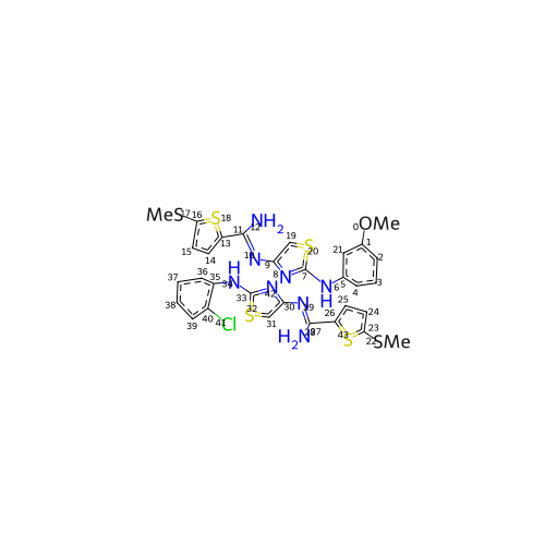 COc1cccc(Nc2nc(N=C(N)c3ccc(SC)s3)cs2)c1.CSc1ccc(C(N)=Nc2csc(Nc3ccccc3Cl)n2)s1